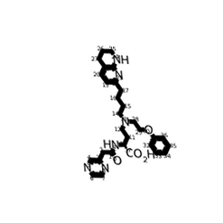 O=C(Cc1cnccn1)N[C@@H](CCN(CCCCc1ccc2c(n1)NCCC2)CCOc1ccccc1)C(=O)O